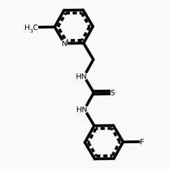 Cc1cccc(CNC(=S)Nc2cccc(F)c2)n1